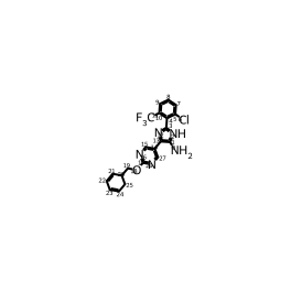 Nc1[nH]c(-c2c(Cl)cccc2C(F)(F)F)nc1-c1cnc(OCC2C=CC=CC2)nc1